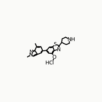 COc1cc(-c2cc(C)c3nn(C)cc3c2)cc2sc(C3CCNCC3)nc12.Cl